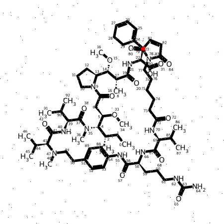 CC[C@H](C)[C@@H]([C@@H](CC(=O)N1CCC[C@H]1[C@H](OC)[C@@H](C)C(=O)N[C@@H](CC1=CC=CCC1)C(=O)O)OC)N(C)C(=O)[C@@H](NC(=O)[C@H](C(C)C)N(C)CCc1ccc(NC(=O)[C@H](CCCNC(N)=O)NC(=O)[C@@H](NC(=O)CCCCCN2C(=O)C=CC2=O)C(C)C)cc1)C(C)C